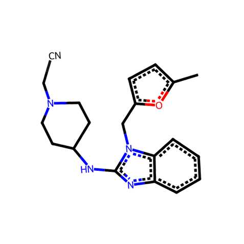 Cc1ccc(Cn2c(NC3CCN(CC#N)CC3)nc3ccccc32)o1